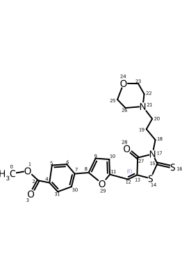 COC(=O)c1ccc(-c2ccc(/C=C3/SC(=S)N(CCCN4CCOCC4)C3=O)o2)cc1